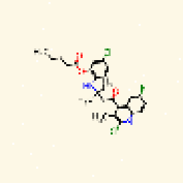 CCCCC(=O)Oc1cc(Cl)ccc1NC(C)(C)CC(=O)c1c(C)c(Cl)nc2ccc(Br)cc12